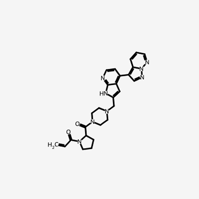 C=CC(=O)N1CCCC1C(=O)N1CCN(Cc2cc3c(-c4cnn5ncccc45)ccnc3[nH]2)CC1